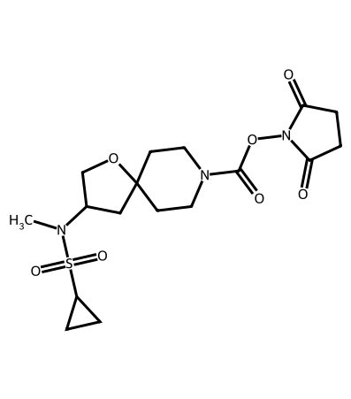 CN(C1COC2(CCN(C(=O)ON3C(=O)CCC3=O)CC2)C1)S(=O)(=O)C1CC1